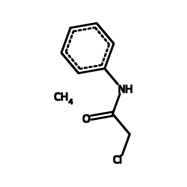 C.O=C(CCl)Nc1ccccc1